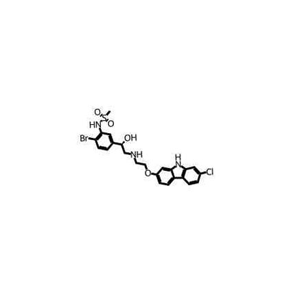 CS(=O)(=O)Nc1cc([C@@H](O)CNCCOc2ccc3c(c2)[nH]c2cc(Cl)ccc23)ccc1Br